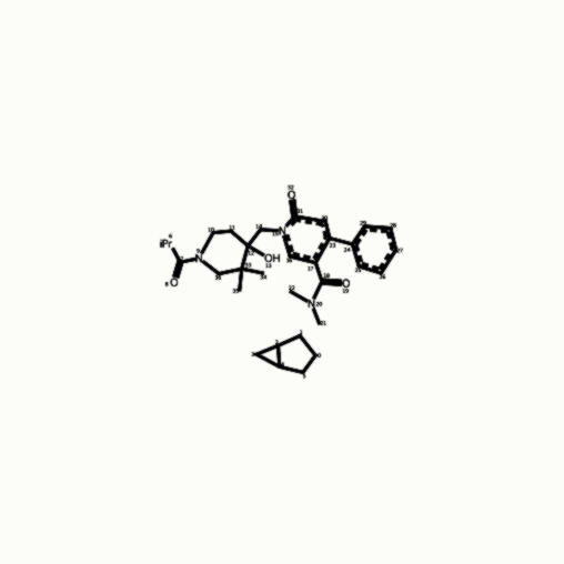 C1CC2CC2C1.CC(C)C(=O)N1CCC(O)(Cn2cc(C(=O)N(C)C)c(-c3ccccc3)cc2=O)C(C)(C)C1